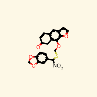 O=C1C=Cc2cc3ccoc3c(OCSC(c3ccc4c(c3)OCO4)[N+](=O)[O-])c2C1